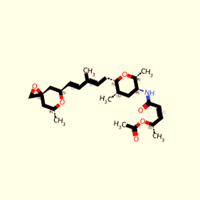 CC(=O)O[C@@H](C)/C=C\C(=O)N[C@@H]1C[C@H](C)[C@H](C/C=C(C)/C=C/[C@@H]2C[C@]3(CO3)C[C@@H](C)O2)O[C@@H]1C